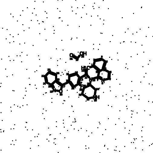 Cc1cccc2ccnc(N(C(=O)c3ccc(-c4onc5ccccc45)cc3F)[C@@H]3CCCNC3)c12.O=CO